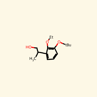 CCOc1c(OC(C)(C)C)cccc1[C](C)CO